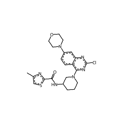 Cc1csc(C(=O)NC2CCCN(c3nc(Cl)nc4cc(N5CCOCC5)ccc34)C2)n1